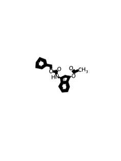 CC(=O)O[C@H]1C[C@H](NC(=O)OCc2ccccc2)c2ccccc21